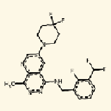 Cc1nnc(NCc2cccc(C(F)F)c2F)c2cc(N3CCC(F)(F)CC3)cnc12